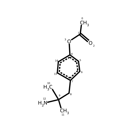 CC(=O)Oc1ccc(CC(C)(C)N)cc1